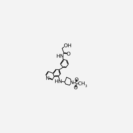 CS(=O)(=O)N1CCC(Nc2cc(-c3cccc(NC(=O)CO)c3)cc3ccncc23)CC1